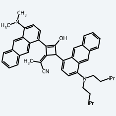 C/C(C#N)=C1\C(c2ccc(N(C)C)c3cc4ccccc4cc23)=C(O)C1c1ccc(N(CCC(C)C)CCC(C)C)c2cc3ccccc3cc12